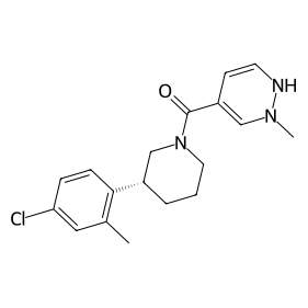 Cc1cc(Cl)ccc1[C@H]1CCCN(C(=O)C2=CN(C)NC=C2)C1